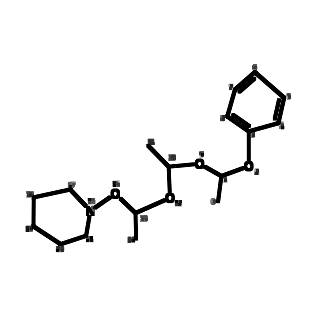 CC(Oc1[c]cccc1)OC(C)OC(C)ON1CCCCC1